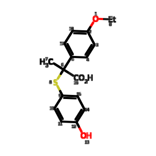 CCOc1ccc(C(C)(Sc2ccc(O)cc2)C(=O)O)cc1